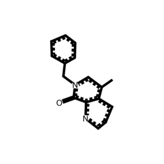 Cc1cn(Cc2ccccc2)c(=O)c2ncccc12